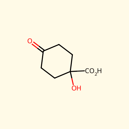 O=C1CCC(O)(C(=O)O)CC1